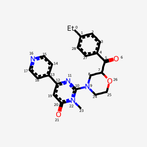 CCc1ccc(C(=O)C2CN(c3nc(-c4ccncc4)cc(=O)n3C)CCO2)cc1